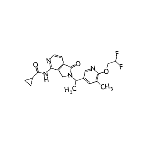 Cc1cc(C(C)N2Cc3c(ccnc3NC(=O)C3CC3)C2=O)cnc1OCC(F)F